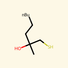 CCCCCCC(C)(O)CS